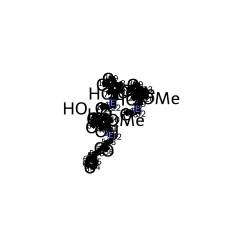 COc1c(C)c2c(c(O)c1C/C=C(\C)CCC(=O)O)C(=O)OC2.COc1c(C)c2c(c(O)c1C/C=C(\C)CCC(=O)O)C(=O)OC2.COc1c(C)c2c(c(O)c1C/C=C(\C)CCC(=O)OCCN1CCOCC1)C(=O)OC2